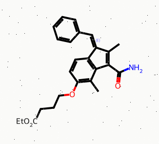 CCOC(=O)CCCOc1ccc2c(c1C)C(C(N)=O)=C(C)/C2=C/c1ccccc1